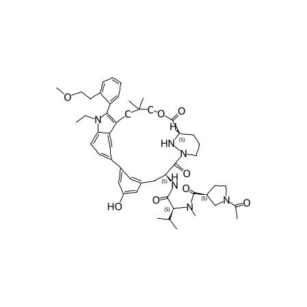 CCn1c(-c2ccccc2CCOC)c2c3cc(ccc31)-c1cc(O)cc(c1)C[C@H](NC(=O)[C@H](C(C)C)N(C)C(=O)[C@H]1CCN(C(C)=O)C1)C(=O)N1CCC[C@H](N1)C(=O)OCC(C)(C)C2